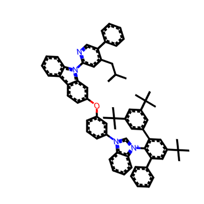 CC(C)Cc1cc(-n2c3ccccc3c3ccc(Oc4cccc(-n5c[n+](-c6c(-c7ccccc7)cc(C(C)(C)C)cc6-c6cc(C(C)(C)C)cc(C(C)(C)C)c6)c6ccccc65)c4)cc32)ncc1-c1ccccc1